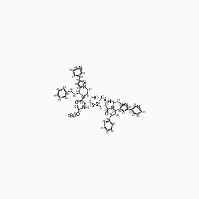 CC(C)(C)OC(=O)N[C@@H](CSSC[C@H](NC(=O)O)C(=O)N1CCn2nc(-c3cccnc3)cc2C1CCc1ccccc1)C(=O)N1CCn2nc(-c3cccnc3)cc2C1CCc1ccccc1